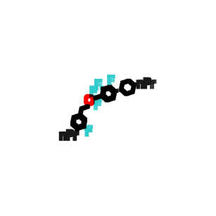 CCCc1ccc(CCOC(F)(F)c2ccc([C@H]3CC[C@H](CCC)CC3)c(F)c2F)cc1F